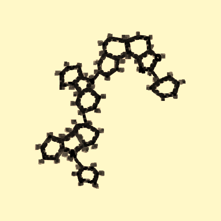 c1ccc(-c2nc3c(ccc4ccc5cc(-n6c7ccccc7c7cc(-c8ccc9c(c8)c8ccccc8n9-c8ccccc8)ccc76)ccc5c43)o2)cc1